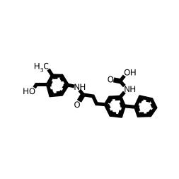 Cc1cc(NC(=O)CCc2ccc(-c3ccccc3)c(NC(=O)O)c2)ccc1CO